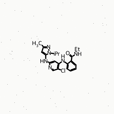 CCNC(=O)c1ccccc1Nc1cc(Nc2cc(C)nn2C(C)C)ncc1Cl